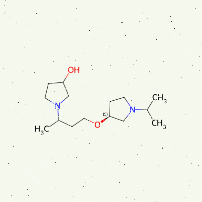 CC(C)N1CC[C@H](OCCC(C)N2CCC(O)C2)C1